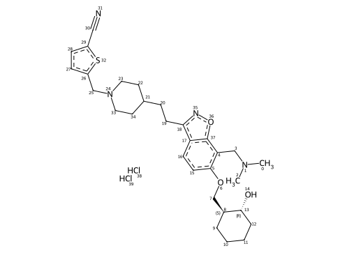 CN(C)Cc1c(OC[C@@H]2CCCC[C@H]2O)ccc2c(CCC3CCN(Cc4ccc(C#N)s4)CC3)noc12.Cl.Cl